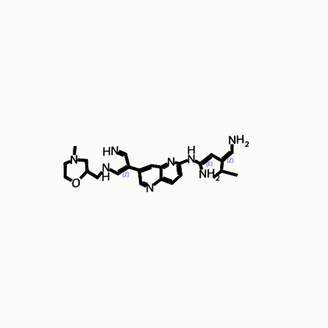 CC(C)C(=C/N)/C=C(\N)Nc1ccc2ncc(/C(C=N)=C/NCC3CN(C)CCO3)cc2n1